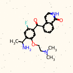 CC(N)c1cc(F)c(C(=O)c2cccc3c(=O)[nH]ccc23)cc1OCCN(C)C